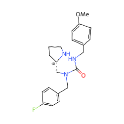 COc1ccc(CNC(=O)N(Cc2ccc(F)cc2)C[C@@H]2CCCN2)cc1